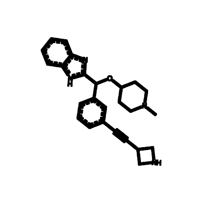 CN1CCC(OC(c2cccc(C#CC3CNC3)c2)c2nc3ccccc3[nH]2)CC1